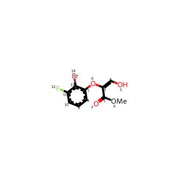 COC(=O)C(=CO)Oc1cccc(F)c1Br